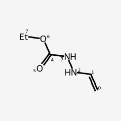 C=CNNC(=O)OCC